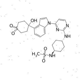 CS(=O)(=O)N[C@H]1CC[C@H](Nc2nccc(-n3ccc4c(C5(O)CCS(=O)(=O)CC5)cccc43)n2)CC1